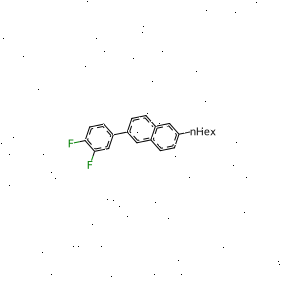 CCCCCCc1ccc2cc(-c3ccc(F)c(F)c3)ccc2c1